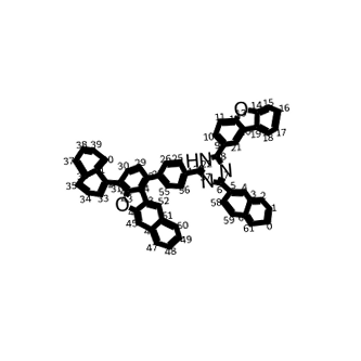 c1ccc2cc(C3=NC(c4ccc5oc6ccccc6c5c4)NC(c4ccc(-c5ccc(-c6cccc7ccccc67)c6oc7cc8ccccc8cc7c56)cc4)=N3)ccc2c1